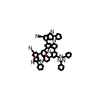 N#Cc1cc(C#N)cc(-c2ccc3c(c2)c2cc(-c4cc(C#N)cc(C#N)c4)ccc2n3-c2c(-c3ccc(-n4c5ccccc5c5ccccc54)cc3)cc(-c3nc(-c4ccccc4)nc(-c4ccccc4)n3)cc2-c2ccc(-n3c4ccccc4c4ccccc43)cc2)c1